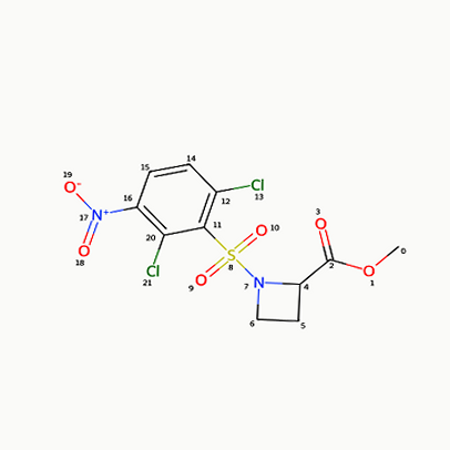 COC(=O)C1CCN1S(=O)(=O)c1c(Cl)ccc([N+](=O)[O-])c1Cl